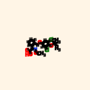 CON=C(C(=O)O)c1ccccc1COc1cc(Cl)c(OC(C)C)c(Cl)c1